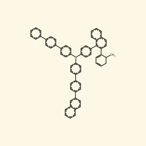 CC1CC=CC=C1c1ccc2ccccc2c1-c1ccc(N(c2ccc(-c3ccc(-c4ccccc4)cc3)cc2)c2ccc(-c3ccc(-c4ccc5ccccc5c4)cc3)cc2)cc1